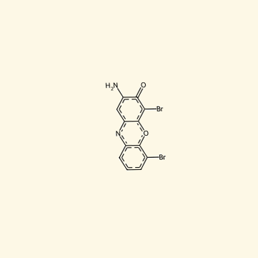 Nc1cc2nc3cccc(Br)c3oc-2c(Br)c1=O